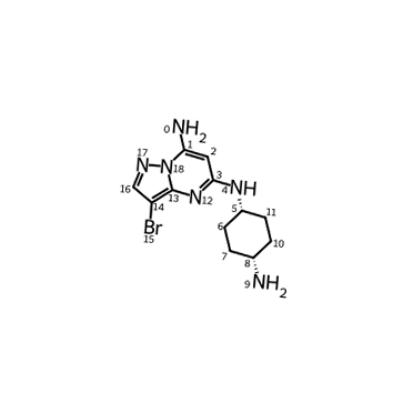 Nc1cc(N[C@H]2CC[C@@H](N)CC2)nc2c(Br)cnn12